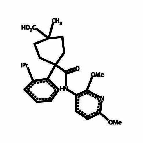 COc1ccc(NC(=O)C2(c3ccccc3C(C)C)CCC(C)(C(=O)O)CC2)c(OC)n1